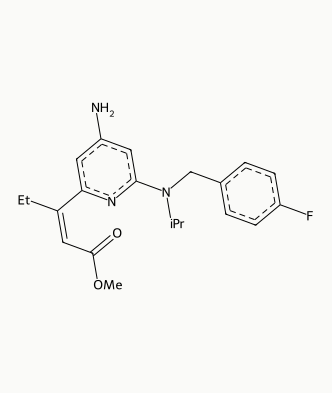 CC/C(=C/C(=O)OC)c1cc(N)cc(N(Cc2ccc(F)cc2)C(C)C)n1